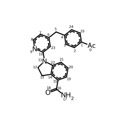 CC(=O)c1ccc(Cc2ccnc(N3CCc4c(C(N)=O)cccc43)c2)cc1